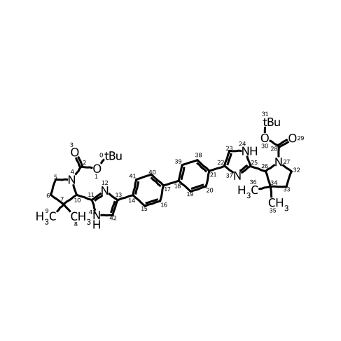 CC(C)(C)OC(=O)N1CCC(C)(C)C1c1nc(-c2ccc(-c3ccc(-c4c[nH]c(C5N(C(=O)OC(C)(C)C)CCC5(C)C)n4)cc3)cc2)c[nH]1